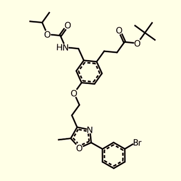 Cc1oc(-c2cccc(Br)c2)nc1CCOc1ccc(CCC(=O)OC(C)(C)C)c(CNC(=O)OC(C)C)c1